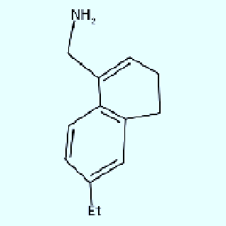 CCc1ccc2c(c1)CCC=C2CN